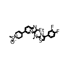 CCc1nc2ccc(C3=CCN([S+](C)[O-])CC3)cn2c1N(C)c1nc(-c2ccc(F)c(F)c2)cs1